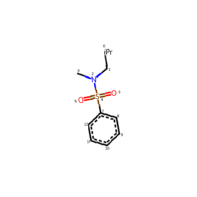 CC(C)CN(C)S(=O)(=O)c1ccccc1